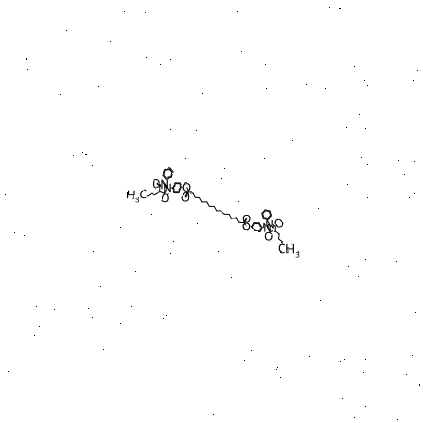 CCCCC1C(=O)N(c2ccccc2)N(c2ccc(OC(=O)CCCCCCCCCCCCCCC(=O)Oc3ccc(N4C(=O)C(CCCC)C(=O)N4c4ccccc4)cc3)cc2)C1=O